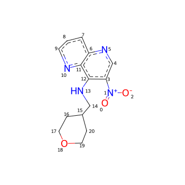 O=[N+]([O-])c1cnc2cccnc2c1NCC1CCOCC1